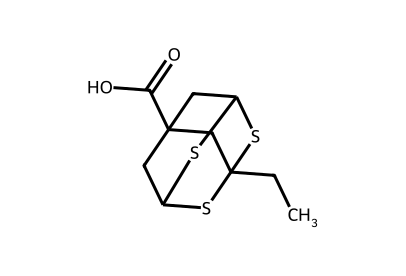 CCC12CC3(C(=O)O)CC(SC(C3)S1)S2